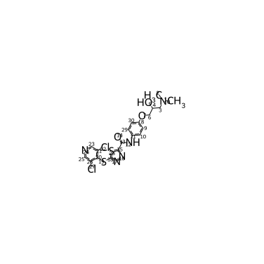 CN(C)CC(O)COc1ccc(NC(=O)c2nnc(Sc3c(Cl)cncc3Cl)s2)cc1